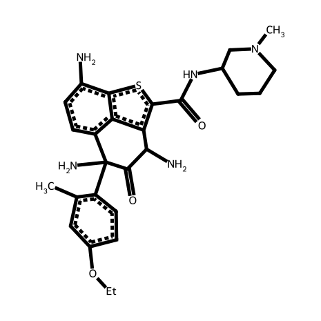 CCOc1ccc(C2(N)C(=O)C(N)c3c(C(=O)NC4CCCN(C)C4)sc4c(N)ccc2c34)c(C)c1